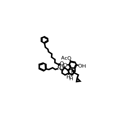 CC(=O)Oc1cc(O)c2c3c1O[C@H]1[C@H](N(CCCc4ccccc4)C(=O)CCCCCCCc4ccccc4)CC[C@H]4[C@@H](C2)N(CC2CC2)CC[C@@]341